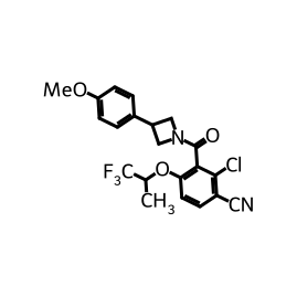 COc1ccc(C2CN(C(=O)c3c(OC(C)C(F)(F)F)ccc(C#N)c3Cl)C2)cc1